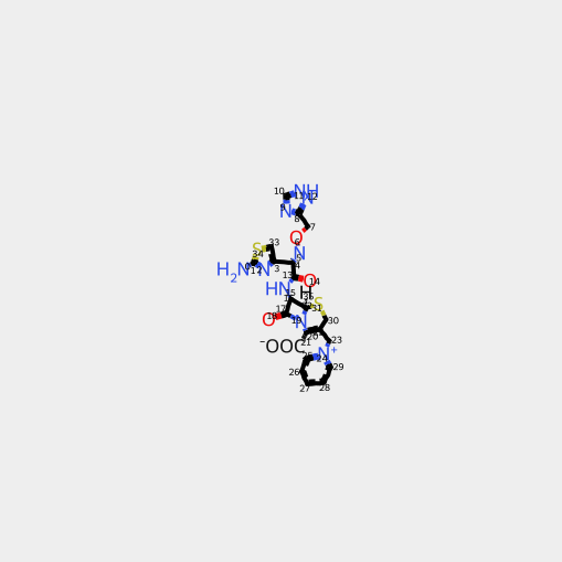 Nc1nc(/C(=N\OCc2nc[nH]n2)C(=O)N[C@@H]2C(=O)N3C(C(=O)[O-])=C(C[n+]4ccccc4)CS[C@H]23)cs1